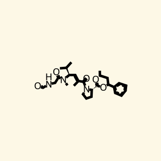 CCCC(OC(=O)[C@@H]1CCCN1C(=O)/C(C)=C/[C@H](C(C)C)N(C)C(=O)CNC=O)c1ccccc1